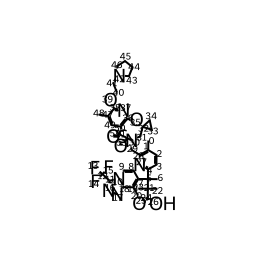 Cc1ccc(C(C)(c2ccn3c(C(F)(F)F)nnc3c2C)C(C)(C)C(=O)O)nc1CN1CC2(CC2)Oc2nc(OCCN3CCCC3)c(C)cc2S1(=O)=O